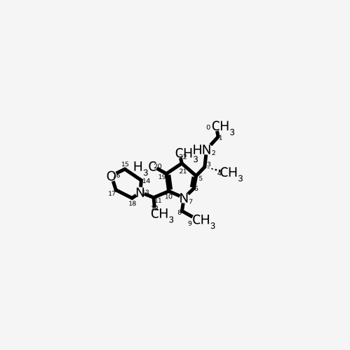 CCN[C@H](C)C1=CN(CC)C(C(C)N2CCOCC2)=C(C)C1C